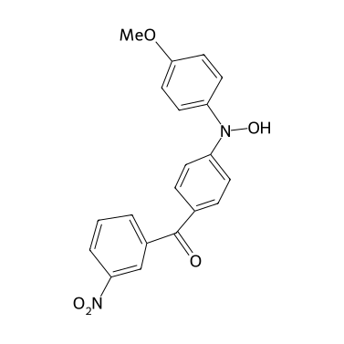 COc1ccc(N(O)c2ccc(C(=O)c3cccc([N+](=O)[O-])c3)cc2)cc1